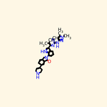 C=N/C(=N\C(=C(C)C)c1c[nH]c2c(N3Cc4ccc(C5=CCNCC5)cc4C3=O)cccc12)Nc1cc(C)n(C)n1